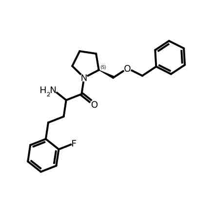 NC(CCc1ccccc1F)C(=O)N1CCC[C@H]1COCc1ccccc1